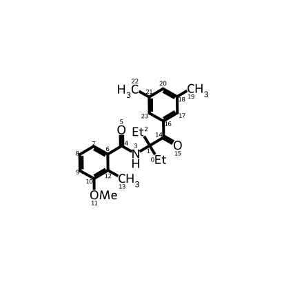 CCC(CC)(NC(=O)c1cccc(OC)c1C)C(=O)c1cc(C)cc(C)c1